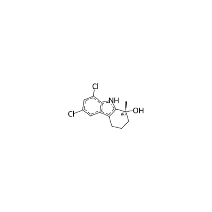 C[C@@]1(O)CCCc2c1[nH]c1c(Cl)cc(Cl)cc21